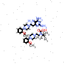 COc1ccccc1N1CCN(CCN(C(=O)O)C(C)(C)C)CC1.COc1ccccc1N1CCN(CCc2nc(N)nc(N)c2N)CC1